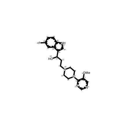 COc1cncnc1N1CCN(CCC(O)c2c[nH]c3ccc(F)cc23)CC1